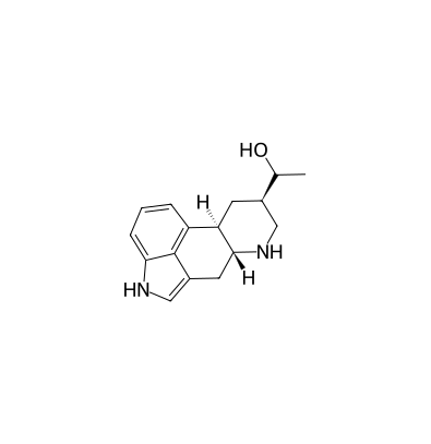 CC(O)[C@H]1CN[C@@H]2Cc3c[nH]c4cccc(c34)[C@H]2C1